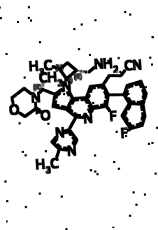 Cc1cnc(-c2nc3c(F)c(-c4cccc5ccc(F)cc45)c(CCC#N)cc3c3c2cc([C@@H](C)N2CCOCC2=O)n3[C@H]2[C@@H](CN)C[C@@H]2C)cn1